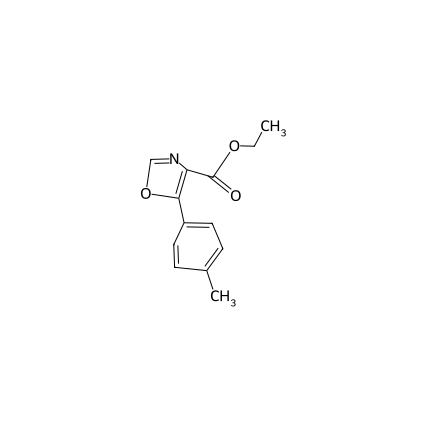 CCOC(=O)c1ncoc1-c1ccc(C)cc1